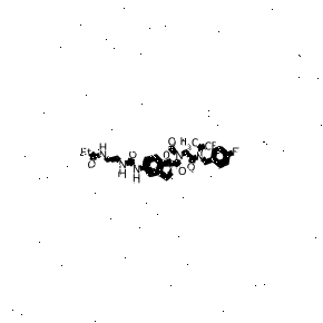 CCC(=O)NCCNC(=O)Nc1ccc2c(c1)CC[C@@]21OC(=O)N(CC(=O)N(Cc2ccc(F)cc2)C(C)C(F)(F)F)C1=O